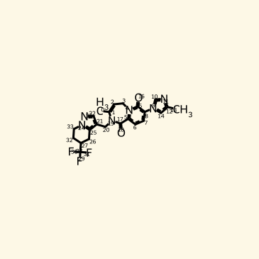 CC1=CCn2c(ccc(-n3cnc(C)c3)c2=O)C(=O)N1Cc1cnn2c1CC(C(F)(F)F)CC2